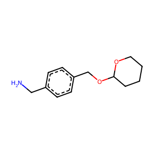 NCc1ccc(COC2CCCCO2)cc1